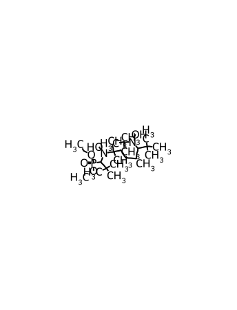 CCOP(=O)(OC)C(N(O)C(C)(C)CCC(C)C(N(O)C(C)(C)C)C(C)(C)C)C(C)(C)C